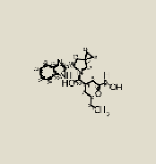 CCCC[C@H](CC(=O)NO)C(O)N1CC2(CC2)C[C@H]1c1nc2ccccc2[nH]1